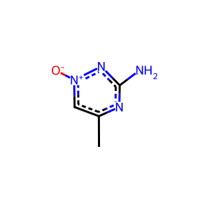 Cc1c[n+]([O-])nc(N)n1